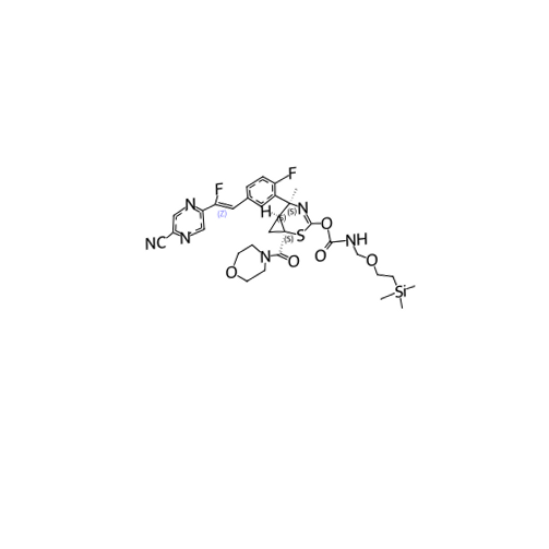 C[C@]1(c2cc(/C=C(\F)c3cnc(C#N)cn3)ccc2F)N=C(OC(=O)NCOCC[Si](C)(C)C)S[C@@]2(C(=O)N3CCOCC3)C[C@H]21